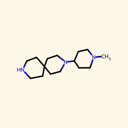 CN1CCC(N2CCC3(CCNCC3)CC2)CC1